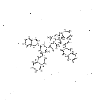 CC1(C)c2cc(C3NC(c4ccc5ccccc5c4)=CC(c4ccc5ccccc5c4)N3)ccc2-c2c(-c3ccc4ccccc4c3)cc3ccccc3c21